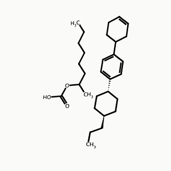 CCCCCCC(C)OC(=O)O.CCC[C@H]1CC[C@H](c2ccc(C3CC=CCC3)cc2)CC1